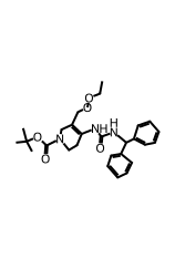 CCOOCC1=C(NC(=O)NC(c2ccccc2)c2ccccc2)CCN(C(=O)OC(C)(C)C)C1